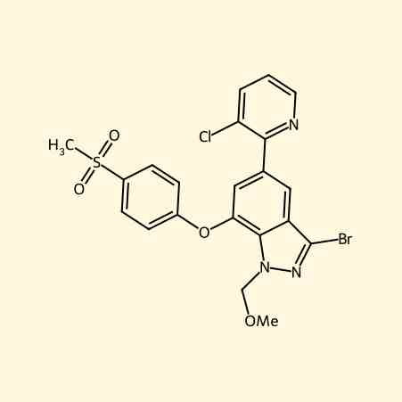 COCn1nc(Br)c2cc(-c3ncccc3Cl)cc(Oc3ccc(S(C)(=O)=O)cc3)c21